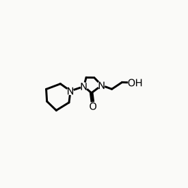 O=C1N(CCO)CCN1N1CCCCC1